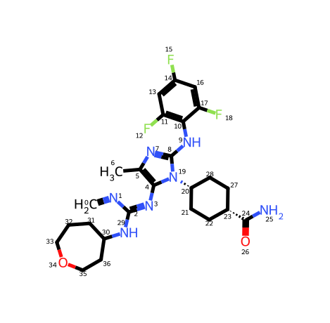 C=N/C(=N\c1c(C)nc(Nc2c(F)cc(F)cc2F)n1[C@H]1CC[C@@H](C(N)=O)CC1)NC1CCCOCC1